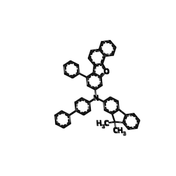 CC1(C)c2ccccc2-c2ccc(N(c3ccc(-c4ccccc4)cc3)c3cc(-c4ccccc4)c4c(c3)oc3c5ccccc5ccc34)cc21